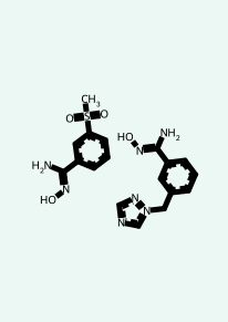 CS(=O)(=O)c1cccc(C(N)=NO)c1.NC(=NO)c1cccc(Cn2cncn2)c1